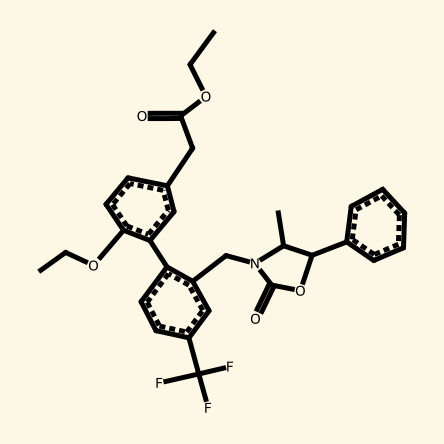 CCOC(=O)Cc1ccc(OCC)c(-c2ccc(C(F)(F)F)cc2CN2C(=O)OC(c3ccccc3)C2C)c1